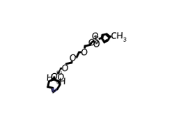 Cc1ccc(S(=O)(=O)OCCOCCOCCOC[C@@H]2O[C@H]3CC/C=C/CC[C@H]3O2)cc1